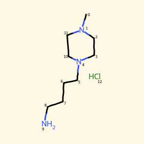 CN1CCN(CCCCN)CC1.Cl